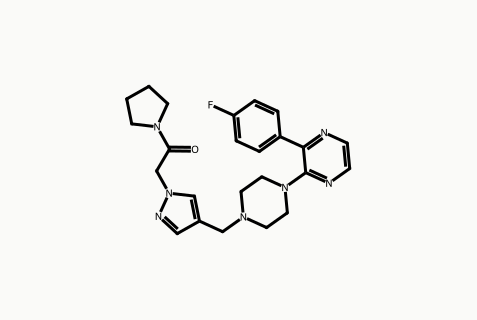 O=C(Cn1cc(CN2CCN(c3nccnc3-c3ccc(F)cc3)CC2)cn1)N1CCCC1